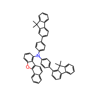 CC1(C)c2ccccc2-c2ccc(-c3ccc(N(c4ccc(-c5cccc6c5C(C)(C)c5ccccc5-6)cc4)c4cccc5oc6c7ccccc7ccc6c45)cc3)cc21